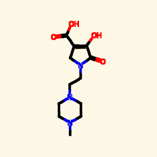 CN1CCN(CCN2CC(C(=O)O)=C(O)C2=O)CC1